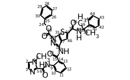 Cn1ccnc1C(=O)Nc1ccccc1C(=O)Nc1nn(C(=O)OCc2ccccc2)c2sc(C(=O)NC(C)(C)c3ccccc3)cc12